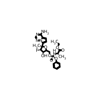 CCOC(=O)[C@H](C)NP(=O)(OCC1O[C@@](C)(c2ccc3c(N)ncnn23)[C@H](F)[C@@H]1O)Oc1ccccc1